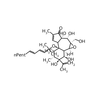 C=C(C)[C@]1(O)[C@H](C)[C@@H](C)[C@]2(OC(C)(C)/C=C/C=C/CCCCC)C3C=C(C)C(=O)[C@@]3(O)[C@H](O)[C@@]3(CO)O[C@H]3[C@H]2[C@H]1O